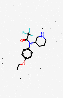 CCOc1ccc(N(C(=O)C(F)(F)F)C2CCCNC2)cc1